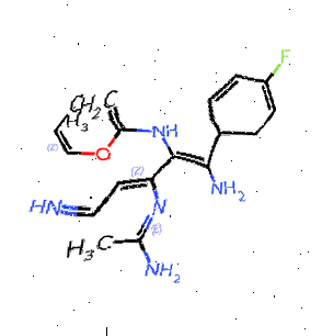 C=C(NC(=C(N)C1C=CC(F)=CC1)C(=C/C=N)/N=C(\C)N)O/C=C\C